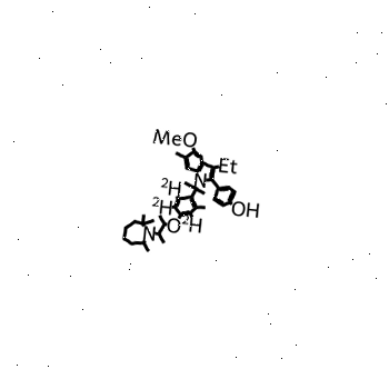 [2H]c1c([2H])c(C(C)(C)n2c(-c3ccc(O)cc3)c(CC)c3cc(OC)c(C)cc32)c(C)c([2H])c1OC(C)C(C)N1C(C)CCCCC1(C)C